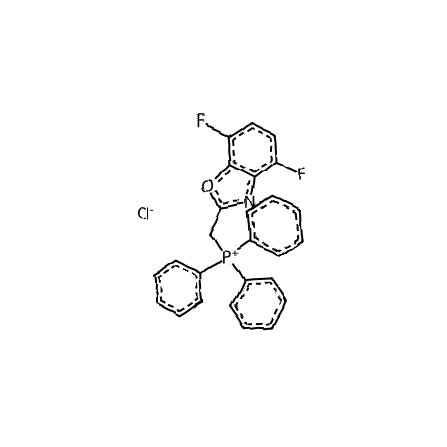 Fc1ccc(F)c2oc(C[P+](c3ccccc3)(c3ccccc3)c3ccccc3)nc12.[Cl-]